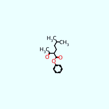 CC(=O)C(CCC(C)C)C(=O)Oc1ccccc1